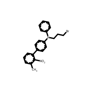 Cc1cccc(-c2ccc(N(CCCBr)c3ccccc3)cc2)c1[N+](=O)[O-]